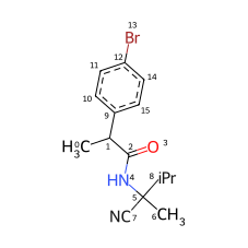 CC(C(=O)NC(C)(C#N)C(C)C)c1ccc(Br)cc1